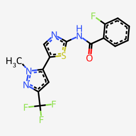 Cn1nc(C(F)(F)F)cc1-c1cnc(NC(=O)c2ccccc2F)s1